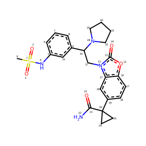 CS(=O)(=O)Nc1cccc(C(Cn2c(=O)oc3ccc(C4(C(N)=O)CC4)cc32)N2CCCC2)c1